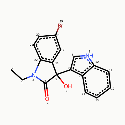 CCN1C(=O)C(O)(c2c[nH]c3ccccc23)c2cc(Br)ccc21